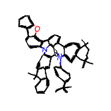 CC(C)(C)c1ccc(N2B3c4cc5c(cc4-n4c6ccc7c8ccccc8oc7c6c6ccc(c3c64)-c3cc4c(cc32)C(C)(C)CCC4(C)C)C(C)(C)c2ccccc2-5)cc1